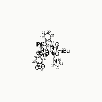 CC[C@H](C)CC(=O)N(NC(=O)CN1CCCC1)[C@@H](Cc1ccccc1)[C@H](O)CN(CC(C)C)S(=O)(=O)c1ccc2c(c1)OCO2